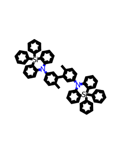 Cc1ccc(N2c3ccccc3[Si](c3ccccc3)(c3ccccc3)c3ccccc32)cc1-c1cc(N2c3ccccc3[Si](c3ccccc3)(c3ccccc3)c3ccccc32)ccc1C